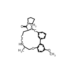 COc1ccc2c(c1)-c1cccc(c1)CN(C)[C@H](C(=O)N1CCCC1)CCCN[C@H](C)CO2